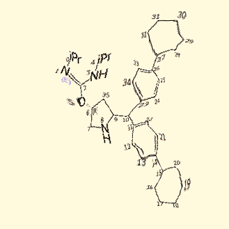 CC(C)/N=C(\NC(C)C)O[C@H]1CNC(C(c2ccc(C3CCCCC3)cc2)c2ccc(C3CCCCC3)cc2)C1